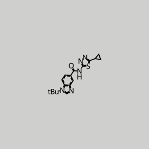 CC(C)(C)n1cnc2cc(C(=O)Nc3nnc(C4CC4)s3)ccc21